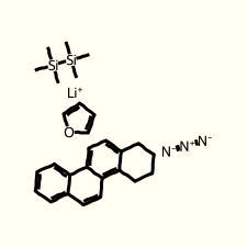 C[Si](C)(C)[Si](C)(C)C.[Li+].[N-]=[N+]=[N-].c1ccc2c(c1)ccc1c3c(ccc12)CCCC3.c1ccoc1